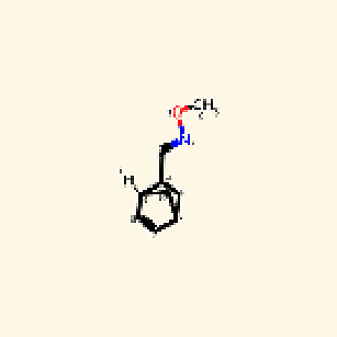 CON=CC1CC2C=C[C@@H]1C2